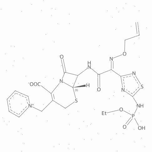 C=CCON=C(C(=O)NC1C(=O)N2C(C(=O)[O-])=C(C[n+]3ccccc3)CS[C@@H]12)c1nsc(NP(=O)(O)OCC)n1